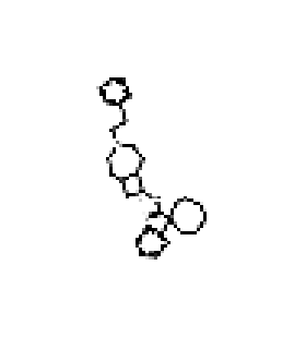 O=C(O[C@H]1CC2CCN(CCc3ccccc3)CCC21)C1(c2ccccc2)CCCCCC1